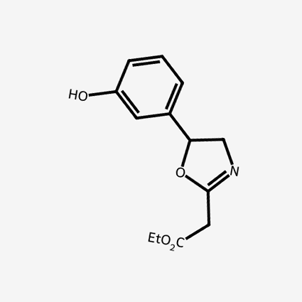 CCOC(=O)CC1=NCC(c2cccc(O)c2)O1